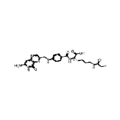 CCC(=O)NCCCC[C@H](NC(=O)c1ccc(NCc2cnc3cc(N)[nH]c(=O)c3n2)cc1)C(=O)O